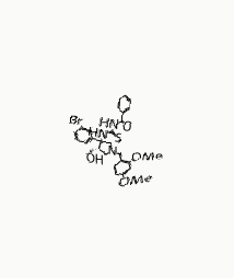 COc1ccc(CN2C[C@H](CO)[C@@](NC(=S)NC(=O)c3ccccc3)(c3cccc(Br)c3)C2)c(OC)c1